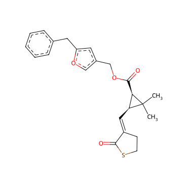 CC1(C)[C@H](C(=O)OCc2coc(Cc3ccccc3)c2)[C@@H]1/C=C1\CCSC1=O